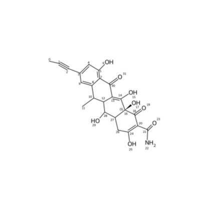 CC#Cc1cc(O)c2c(c1)C(C)C1C(=C(O)[C@]3(O)C(=O)C(C(N)=O)=C(O)CC3C1O)C2=O